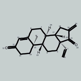 C=C[C@]12CC[C@H]3[C@@H](CCC4=CC(=O)CC[C@@]43C)[C@@H]1CC(=C)C2=O